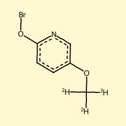 [2H]C([2H])([2H])Oc1ccc(OBr)nc1